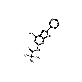 CC(C)(C)C(=O)Nc1nc(O)c2cc(-c3ccccc3)[nH]c2n1